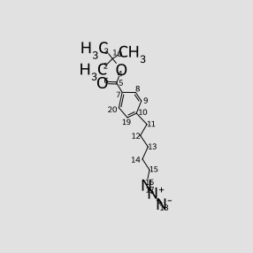 CC(C)(C)OC(=O)c1ccc(CCCCCN=[N+]=[N-])cc1